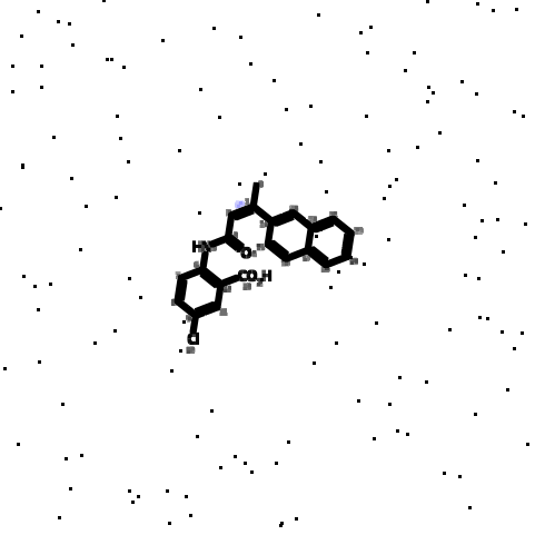 C/C(=C/C(=O)Nc1ccc(Cl)cc1C(=O)O)c1ccc2ccccc2c1